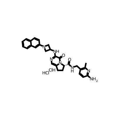 Cc1nc(N)ccc1CNC(=O)[C@@H]1CCc2cnc(NC3CN(c4ccc5ccccc5c4)C3)c(=O)n21.Cl.Cl